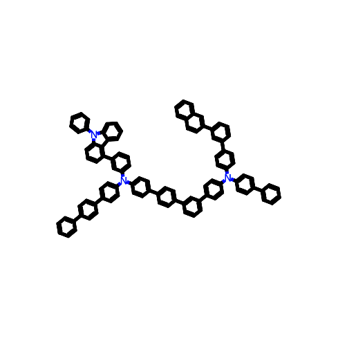 c1ccc(-c2ccc(-c3ccc(N(c4ccc(-c5ccc(-c6cccc(-c7ccc(N(c8ccc(-c9ccccc9)cc8)c8ccc(-c9cccc(-c%10ccc%11ccccc%11c%10)c9)cc8)cc7)c6)cc5)cc4)c4cccc(-c5cccc6c5c5ccccc5n6-c5ccccc5)c4)cc3)cc2)cc1